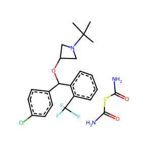 CC(C)(C)N1CC(OC(c2ccc(Cl)cc2)c2ccccc2C(F)(F)F)C1.NC(=O)SC(N)=O